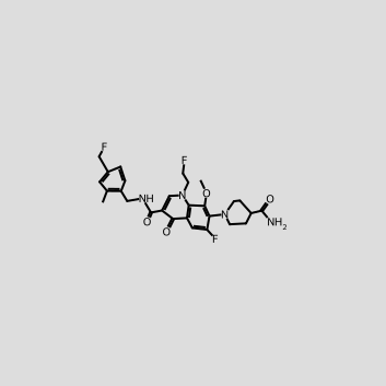 COc1c(N2CCC(C(N)=O)CC2)c(F)cc2c(=O)c(C(=O)NCc3ccc(CF)cc3C)cn(CCF)c12